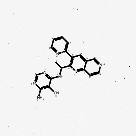 CC(Nc1ncnc(N)c1C#N)c1nc2ccncc2cc1-c1ccccn1